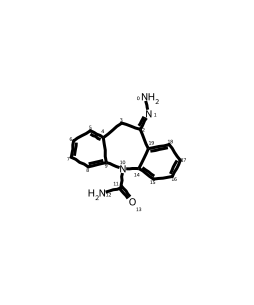 NN=C1Cc2ccccc2N(C(N)=O)c2ccccc21